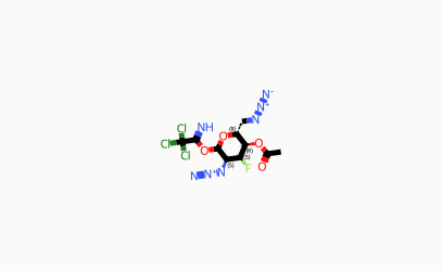 CC(=O)O[C@H]1[C@@H](F)[C@@H](N=[N+]=[N-])C(OC(=N)C(Cl)(Cl)Cl)O[C@@H]1CN=[N+]=[N-]